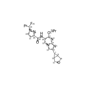 CC(C)Oc1nc2nc(C3C4COCC43)cn2cc1NC(=O)c1ccn(C(F)F)n1